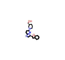 OC[C@H]1CCCN(c2ccc3ncc(-c4cc5ccccc5o4)n3n2)C1